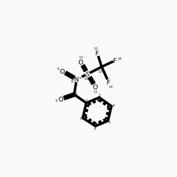 O=C(c1ccccc1)[N+](=O)S(=O)(=O)C(F)(F)F